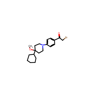 COC1(C2CCCCC2)CCN(c2ccc(C(=O)CBr)cc2)CC1